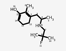 CC1=C(CC(C)NCC(C)(C)F)CCC=C1O